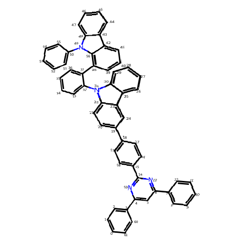 c1ccc(-c2cc(-c3ccccc3)nc(-c3ccc(-c4ccc5c(c4)c4ccccc4n5-c4ccccc4-c4cccc5c6ccccc6n(-c6ccccc6)c45)cc3)n2)cc1